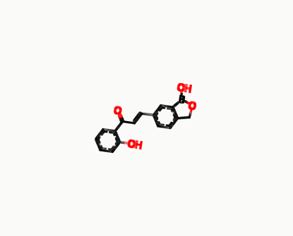 O=C(/C=C/c1ccc2c(c1)B(O)OC2)c1ccccc1O